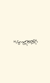 C=C(CC#C/C(C)=C/CCC(C)=O)CCC=C(C)C